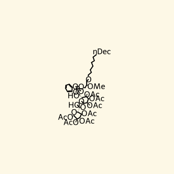 CCCCCCCCCCCCCCCCCCOCC(COP(=O)(Oc1ccccc1)OC(O)[C@H]1O[C@@H](OC(O)[C@H]2O[C@@H](OC(C)=O)[C@H](OC(C)=O)[C@@H](OC(C)=O)[C@@H]2OC(C)=O)[C@H](OC(C)=O)[C@@H](OC(C)=O)[C@@H]1OC(C)=O)OC